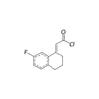 O=C(Cl)/C=C1\CCCc2ccc(F)cc21